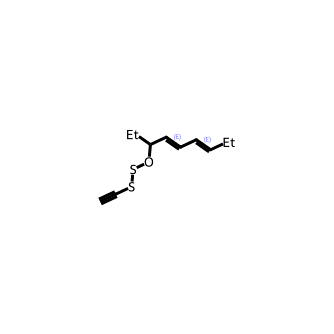 C#CSSOC(/C=C/C=C/CC)CC